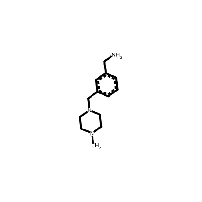 CN1CCN(Cc2cccc(CN)c2)CC1